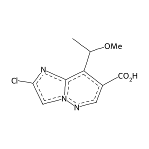 COC(C)c1c(C(=O)O)cnn2cc(Cl)nc12